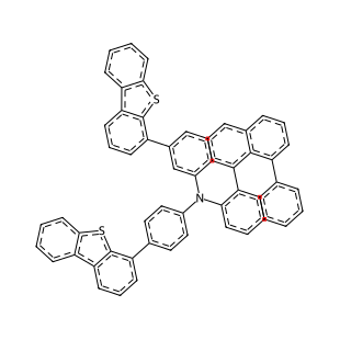 c1ccc(-c2cccc3cccc(-c4ccccc4N(c4ccc(-c5cccc6c5sc5ccccc56)cc4)c4cccc(-c5cccc6c5sc5ccccc56)c4)c23)cc1